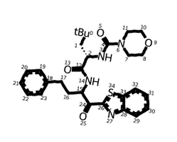 CC(C)(C)C[C@H](NC(=O)N1CCOCC1)C(=O)NC(CCc1ccccc1)C(=O)c1nc2ccccc2s1